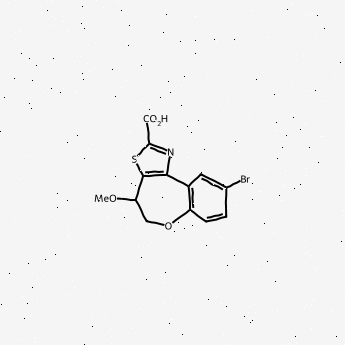 COC1COc2ccc(Br)cc2-c2nc(C(=O)O)sc21